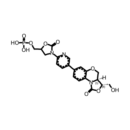 O=C1OC(COP(=O)(O)O)CN1c1ccc(-c2ccc3c(c2)OC[C@H]2[C@H](CO)OC(=O)N32)cn1